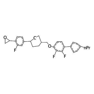 CCCc1ccc(-c2ccc(OCC3CCC(c4ccc(C5CO5)c(F)c4)CC3)c(F)c2F)cc1